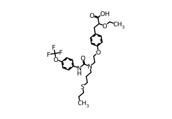 CCCSCCCN(CCOc1ccc(CC(OCC)C(=O)O)cc1)C(=O)Nc1ccc(OC(F)(F)F)cc1